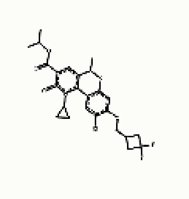 CC(C)OC(=O)c1cc2c(n(C3CC3)c1=O)-c1cc(Cl)c(OCC3CC(F)(F)C3)cc1SC2C